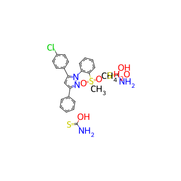 C.CS(=O)(=O)c1ccccc1-n1nc(-c2ccccc2)cc1-c1ccc(Cl)cc1.NC(O)=S.NC(O)=S.O